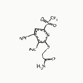 CCCc1cc(S(=O)(=O)C(F)(F)F)nc(SCC(N)=O)c1C#N